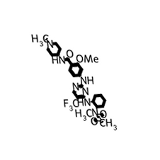 COc1cc(Nc2ncc(C(F)(F)F)c(N[C@@H]3CCCC[C@H]3N(C)S(C)(=O)=O)n2)ccc1C(=O)NC1CCN(C)CC1